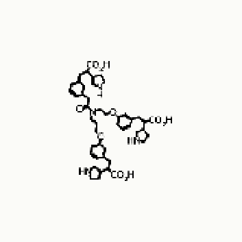 O=C(O)C(Cc1cccc(CC(=O)N(CCCOc2cccc(CC(C(=O)O)C3CCNC3)c2)CCOc2cccc(CC(C(=O)O)C3CCNC3)c2)c1)C1CCNC1